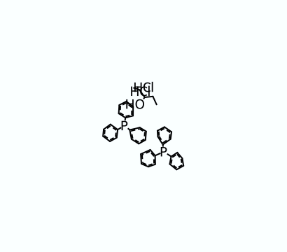 CCC(O)CC.Cl.Cl.c1ccc(P(c2ccccc2)c2ccccc2)cc1.c1ccc(P(c2ccccc2)c2ccccc2)cc1